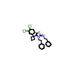 Clc1ccc(C2(c3csc(=NCCc4ccccc4)n3CCc3ccccc3)CCC2)cc1Cl